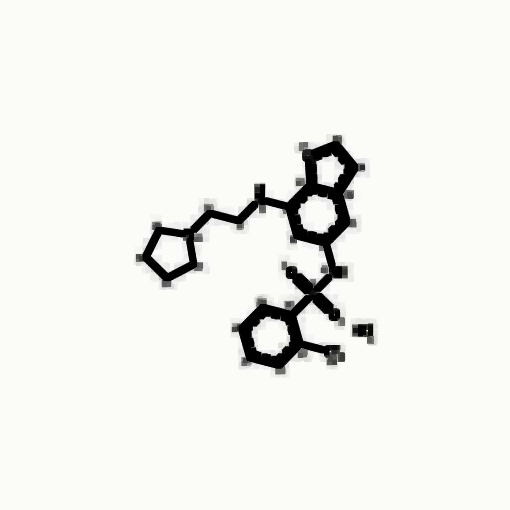 Cl.O=S(=O)(Nc1cc(NCCN2CCCC2)c2occc2c1)c1ccccc1C(F)(F)F